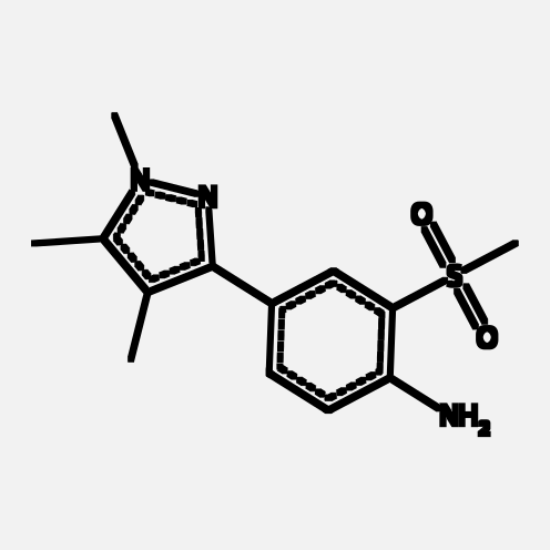 Cc1c(-c2ccc(N)c(S(C)(=O)=O)c2)nn(C)c1C